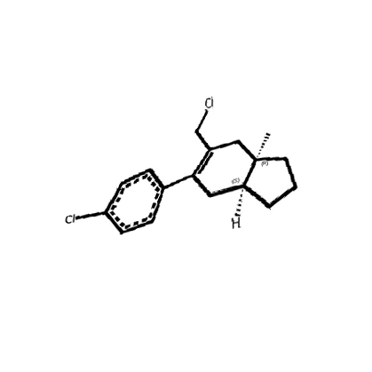 C[C@]12CCC[C@H]1CC(c1ccc(Cl)cc1)=C(CCl)C2